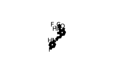 Cc1ccc(CCCNc2ccc(F)cc2)c(C)c1NC(=O)C(F)(F)F